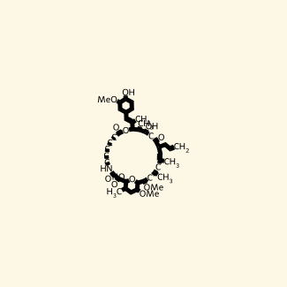 C=CCC1C=C(C)CC(C)CC(OC)C2OC(O)(C(=O)C(=O)NCCCCCC(=O)OC(C(C)=CC3CCC(O)C(OC)C3)C(C)C(O)CC1=O)C(C)CC2OC